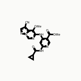 COC(=O)c1cnc(NC(=O)C2CC2)cc1Nc1ncn2ncc(C#N)c2c1OC